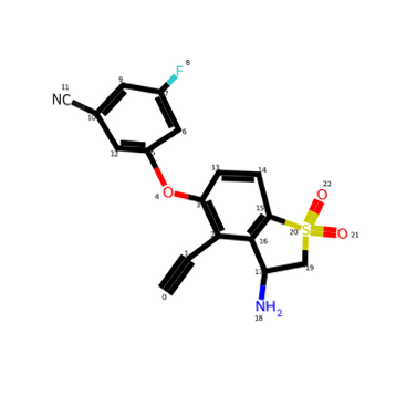 C#Cc1c(Oc2cc(F)cc(C#N)c2)ccc2c1C(N)CS2(=O)=O